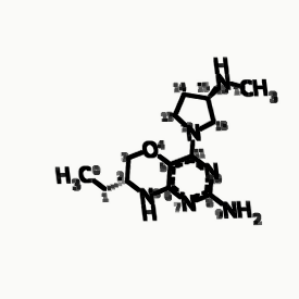 CC[C@@H]1COc2c(nc(N)nc2N2CC[C@@H](NC)C2)N1